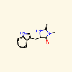 C=C1N[C@H](Cc2c[nH]c3ccccc23)C(=O)N1C